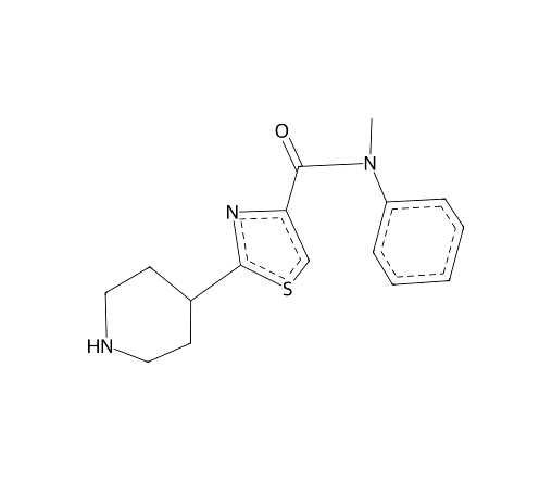 CN(C(=O)c1csc(C2CCNCC2)n1)c1ccccc1